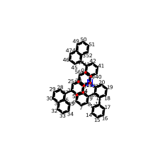 c1ccc(-c2ccccc2-c2c(-c3ccccc3)cccc2N(c2ccc(-c3cccc4ccccc34)cc2)c2cccc(-c3cccc4ccccc34)c2)cc1